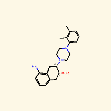 Cc1cccc(N2CCN([C@H]3Cc4c(N)cccc4C[C@@H]3O)CC2)c1C